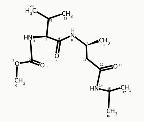 COC(=O)N[C@H](C(=O)N[C@@H](C)CC(=O)NC(C)C)C(C)C